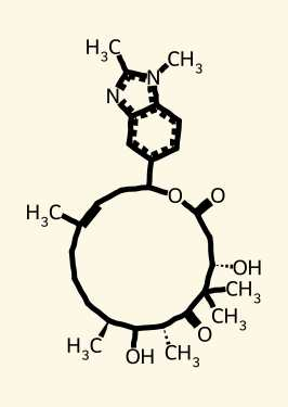 C/C1=C/CC(c2ccc3c(c2)nc(C)n3C)OC(=O)C[C@H](O)C(C)(C)C(=O)[C@H](C)C(O)[C@@H](C)CCC1